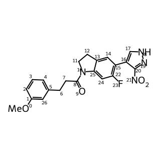 COc1cccc(CCC(=O)N2CCc3cc(-c4c[nH]nc4[N+](=O)[O-])c(F)cc32)c1